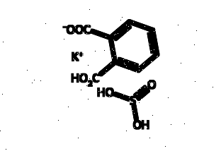 O=C([O-])c1ccccc1C(=O)O.O=S(O)O.[K+]